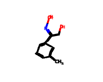 Cc1cccc(C(CO)=NO)c1